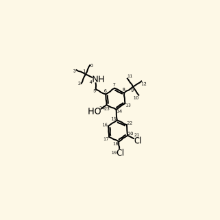 CC(C)(C)NCc1cc(C(C)(C)C)cc(-c2ccc(Cl)c(Cl)c2)c1O